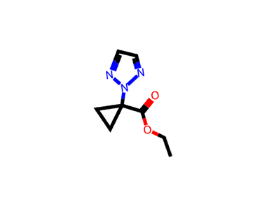 CCOC(=O)C1(n2nccn2)CC1